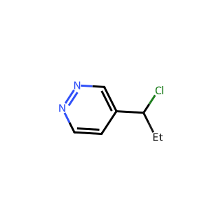 CCC(Cl)c1ccnnc1